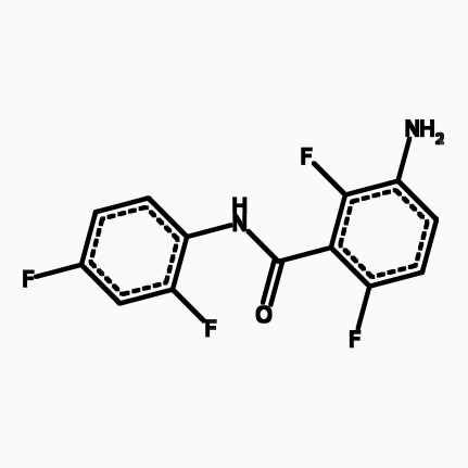 Nc1ccc(F)c(C(=O)Nc2ccc(F)cc2F)c1F